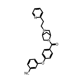 N#Cc1cccc(Oc2ccc(C(=O)N3CC4CC3CN4CCc3ccccn3)cc2)c1